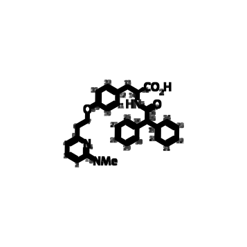 CNc1cccc(CCOc2ccc(C[C@H](NC(=O)C(c3ccccc3)c3ccccc3)C(=O)O)cc2)n1